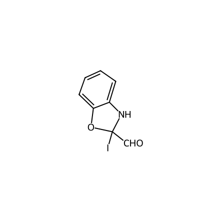 O=CC1(I)Nc2ccccc2O1